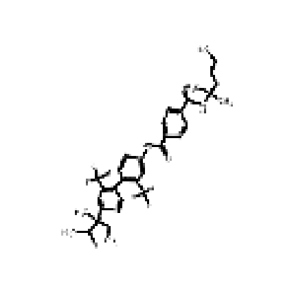 CCCCC(C)(C)NC(=O)c1ccc(C(=O)Nc2ccc(-c3ccc(C(C)(CC)C(C)I)cc3C(F)(F)F)c(C(F)(F)F)c2)cc1